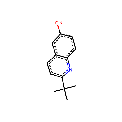 CC(C)(C)c1ccc2cc(O)ccc2n1